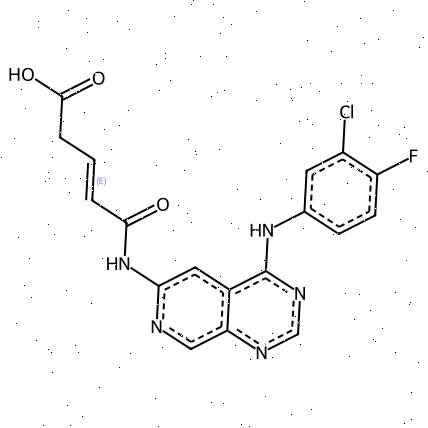 O=C(O)C/C=C/C(=O)Nc1cc2c(Nc3ccc(F)c(Cl)c3)ncnc2cn1